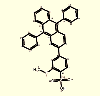 COc1cc(-c2ccc3c(-c4ccccc4)c4ccccc4c(-c4ccccc4)c3c2)ccc1S(=O)(=O)O